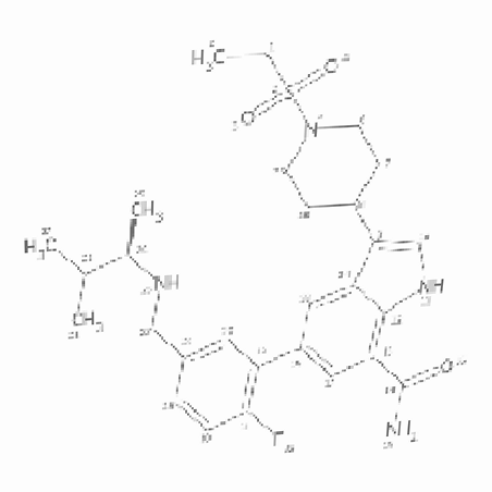 CCS(=O)(=O)N1CCC(c2c[nH]c3c(C(N)=O)cc(-c4cc(CN[C@H](C)C(C)C)ccc4F)cc23)CC1